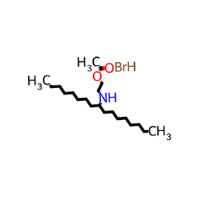 Br.CCCCCCCCC(CCCCCCCC)NCCOC(C)=O